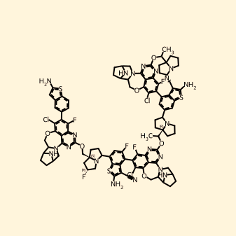 CC(Oc1nc2c3c(c(Cl)c(-c4cc(C5CC[C@@]6(C(C)Oc7nc8c9c(c(Cl)c(-c%10c(F)cc(C%11CC[C@@]%12(COc%13nc%14c%15c(c(Cl)c(-c%16ccc%17sc(N)cc%17c%16)c(F)c%15n%13)OCC%13C%15CCC(CN%14%13)N%15)C[C@@H](F)CN%11%12)c%11sc(N)c(C#N)c%10%11)c(F)c9n7)OCC7C9CCC(CN87)N9)CCCN56)cc5sc(N)c(C#N)c45)c(F)c3n1)OCC1C3CCC(CN21)N3)C12CCCN1CCC2